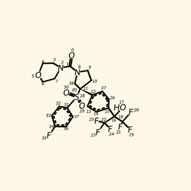 O=C(N1CCOCC1)N1CC[C@](c2ccc(C(O)(C(F)(F)F)C(F)(F)F)cc2)(S(=O)(=O)c2ccc(F)cc2)C1